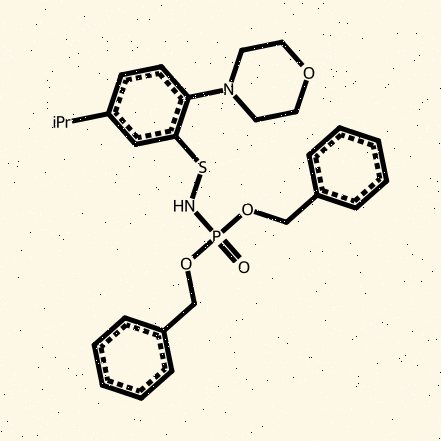 CC(C)c1ccc(N2CCOCC2)c(SNP(=O)(OCc2ccccc2)OCc2ccccc2)c1